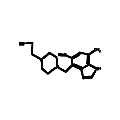 COc1cc(C)c2[nH]ccc2c1CN1CCN(CCO)CC1